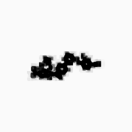 N#Cc1ccc(COc2cccc(C3=CCC4(CC3)CC4c3nc4cc(C(=O)O)[nH]c4n3C[C@@H]3CCO3)n2)c(F)c1